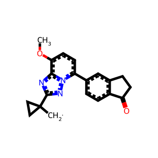 [CH2]C1(c2nc3c(OC)ccc(-c4ccc5c(c4)CCC5=O)n3n2)CC1